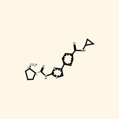 O=C(NC1CC1)c1ccc(-c2csc(NC(=O)[C@@H]3CCC[C@H]3C(=O)O)n2)cc1